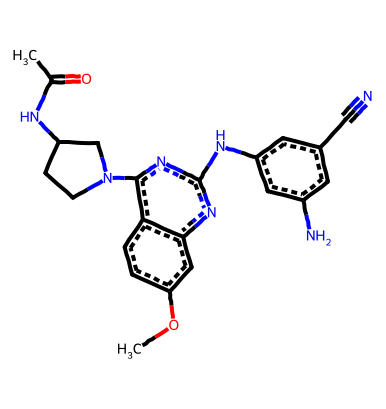 COc1ccc2c(N3CCC(NC(C)=O)C3)nc(Nc3cc(N)cc(C#N)c3)nc2c1